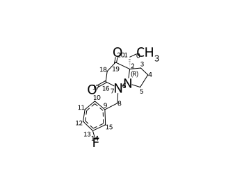 CC[C@]12CCCN1N(Cc1cccc(F)c1)C(=O)CC2=O